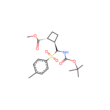 COC(=O)[C@@H]1CC[C@H]1C(NC(=O)OC(C)(C)C)S(=O)(=O)c1ccc(C)cc1